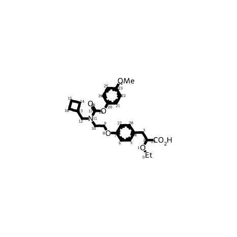 CCOC(Cc1ccc(OCCN(CC2CCC2)C(=O)Oc2ccc(OC)cc2)cc1)C(=O)O